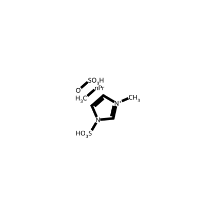 CCCC.C[n+]1ccn(S(=O)(=O)O)c1.O=S(=O)([O-])O